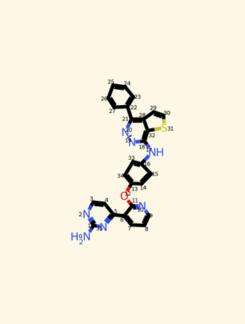 Nc1nccc(-c2cccnc2Oc2ccc(Nc3nnc(-c4ccccc4)c4ccsc34)cc2)n1